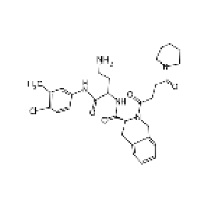 Cc1cc(NC(=O)C(CCN)NC(=O)[C@@H]2Cc3ccccc3CN2C(=O)CCC(=O)N2CCCCC2)ccc1Cl